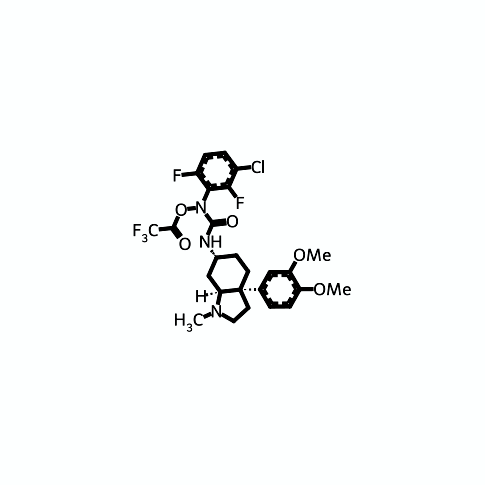 COc1ccc([C@@]23CC[C@@H](NC(=O)N(OC(=O)C(F)(F)F)c4c(F)ccc(Cl)c4F)C[C@@H]2N(C)CC3)cc1OC